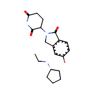 CCN[C@@H]1CCC[C@H]1Oc1ccc2c(c1)CN(C1CCC(=O)NC1=O)C2=O